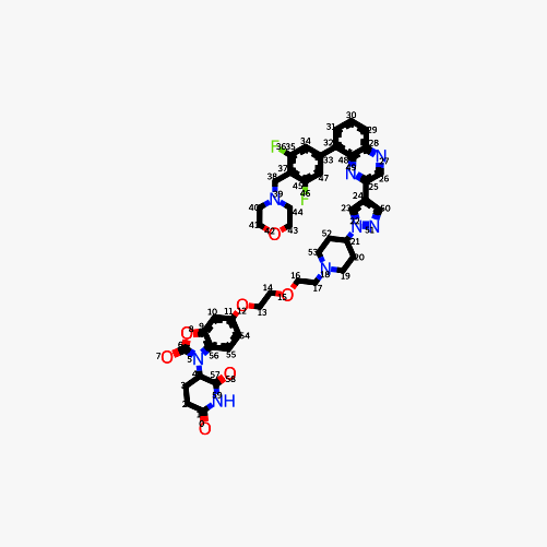 O=C1CCC(n2c(=O)oc3cc(OCCOCCN4CCC(n5cc(-c6cnc7cccc(-c8cc(F)c(CN9CCOCC9)c(F)c8)c7n6)cn5)CC4)ccc32)C(=O)N1